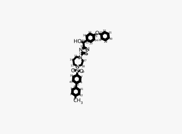 Cc1ccc(-c2ccc(S(=O)(=O)N3CCCN(c4nc(C(O)c5ccc(Oc6ccccc6)cc5)ns4)CC3)cc2)cc1